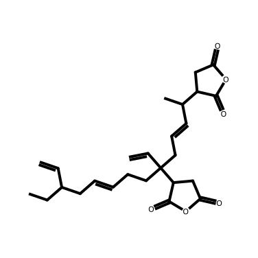 C=CC(CC)C/C=C/CCC(C=C)(C/C=C/C(C)C1CC(=O)OC1=O)C1CC(=O)OC1=O